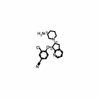 N#Cc1ccc(O[C@@H]2c3ncccc3C[C@H]2N2CCC[C@@H](N)C2)c(Cl)c1